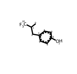 CC(Cc1ccc(O)cc1)C(F)(F)F